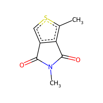 Cc1scc2c1C(=O)N(C)C2=O